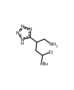 CCCCC(CC)CC(CN)c1nnn[nH]1